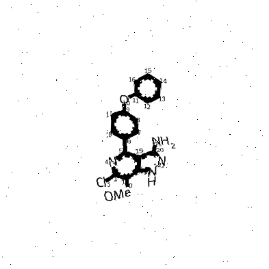 COc1c(Cl)nc(-c2ccc(Oc3ccccc3)cc2)c2c(N)n[nH]c12